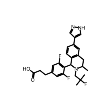 CC1Cc2cc(-c3cn[nH]c3)ccc2C(c2c(F)cc(CCC(=O)O)cc2F)N1CC(C)(C)F